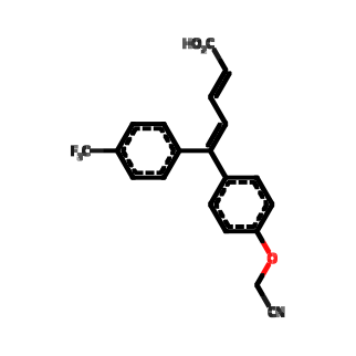 N#CCOc1ccc(/C(=C/C=C/C(=O)O)c2ccc(C(F)(F)F)cc2)cc1